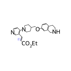 CCOC(=O)/C=C/c1cnccc1N1CCC(COc2ccc3c(c2)CNCC3)CC1